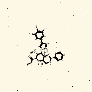 COC(=O)[C@@H]1O[C@@H]2CO[C@H](c3ccccc3)O[C@@H]2[C@H](n2cc(-c3cc(F)c(F)c(F)c3)nn2)[C@H]1OC